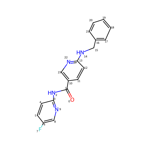 O=C(Nc1ccc(F)cn1)c1ccc(NCc2ccccc2)nc1